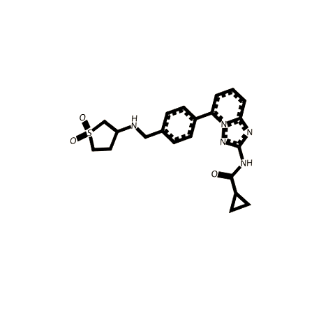 O=C(Nc1nc2cccc(-c3ccc(CNC4CCS(=O)(=O)C4)cc3)n2n1)C1CC1